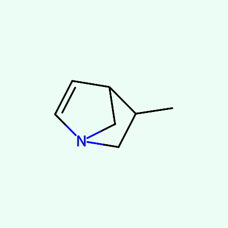 CC1CN2C=CC1C2